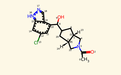 CC(=O)N1C[C@H]2CC(C(O)c3cc(Cl)cc4[nH]ncc34)C[C@H]2C1